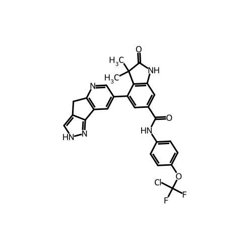 CC1(C)C(=O)Nc2cc(C(=O)Nc3ccc(OC(F)(F)Cl)cc3)cc(-c3cnc4c(c3)-c3n[nH]cc3C4)c21